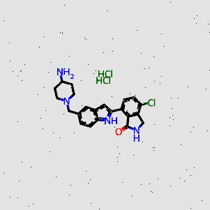 Cl.Cl.NC1CCN(Cc2ccc3[nH]c(-c4ccc(Cl)c5c4C(=O)NC5)cc3c2)CC1